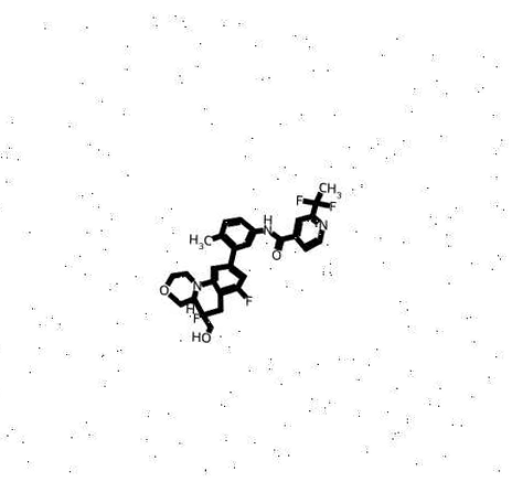 Cc1ccc(NC(=O)c2ccnc(C(C)(F)F)c2)cc1-c1cc(F)c2c(c1)N1CCOC[C@H]1[C@](F)(CO)C2